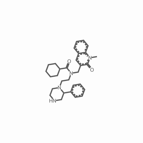 Cn1c(=O)c(CN(CCN2CCNCC2c2ccccc2)C(=O)C2CCCCC2)cc2ccccc21